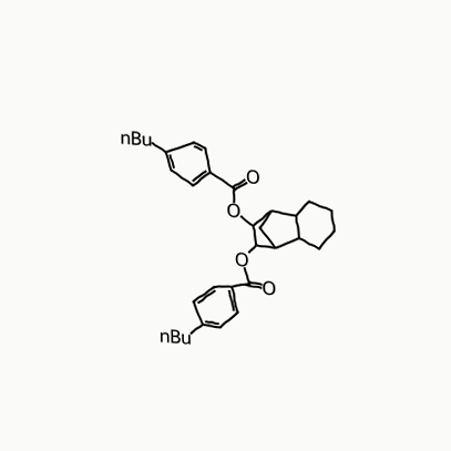 CCCCc1ccc(C(=O)OC2C3CC(C4CCCCC43)C2OC(=O)c2ccc(CCCC)cc2)cc1